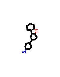 C=Nc1ccc(-c2ccc3oc4ccccc4c3c2)cc1